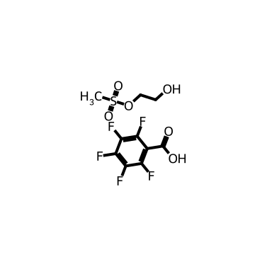 CS(=O)(=O)OCCO.O=C(O)c1c(F)c(F)c(F)c(F)c1F